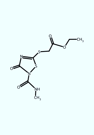 CCOC(=O)CSc1nc(=O)n(C(=O)NC)s1